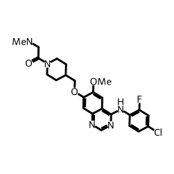 CNCC(=O)N1CCC(COc2cc3ncnc(Nc4ccc(Cl)cc4F)c3cc2OC)CC1